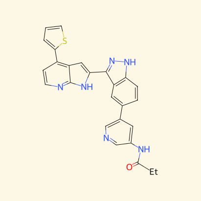 CCC(=O)Nc1cncc(-c2ccc3[nH]nc(-c4cc5c(-c6cccs6)ccnc5[nH]4)c3c2)c1